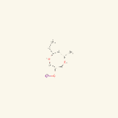 CCC1CC(C)OCC(OP)CO1